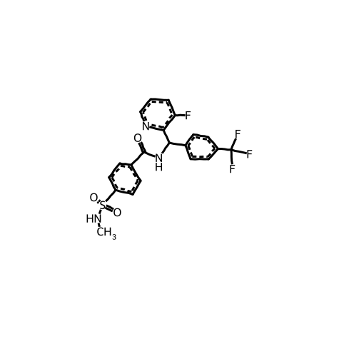 CNS(=O)(=O)c1ccc(C(=O)NC(c2ccc(C(F)(F)F)cc2)c2ncccc2F)cc1